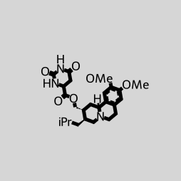 COc1cc2c(cc1OC)[C@H]1C[C@@H](COC(=O)C3CC(=O)NC(=O)N3)[C@H](CC(C)C)CN1CC2